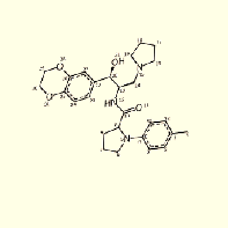 Cc1ccc(N2CCCC2C(=O)N[C@H](CN2CCCC2)[C@H](O)c2ccc3c(c2)OCCO3)cc1